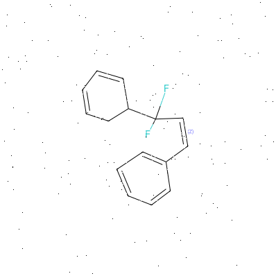 FC(F)(/C=C\c1ccccc1)C1C=CC=CC1